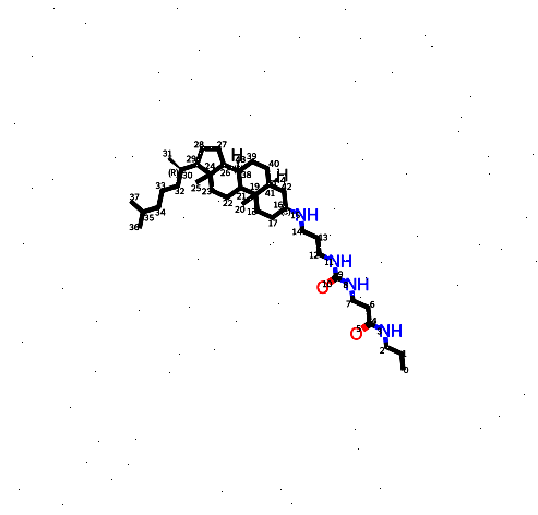 CCCNC(=O)CCNC(=O)NCCCN[C@H]1CCC2(C)C3CCC4(C)C(CCC4[C@H](C)CCCC(C)C)[C@H]3CC[C@H]2C1